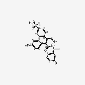 CC(c1cccc(F)c1)n1ncc(-c2ccc(S(N)(=O)=O)cc2)c(-c2ccc(F)cc2)c1=O